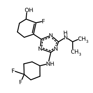 CC(C)Nc1nc(NC2CCC(F)(F)CC2)nc(C2=C(F)C(O)CCC2)n1